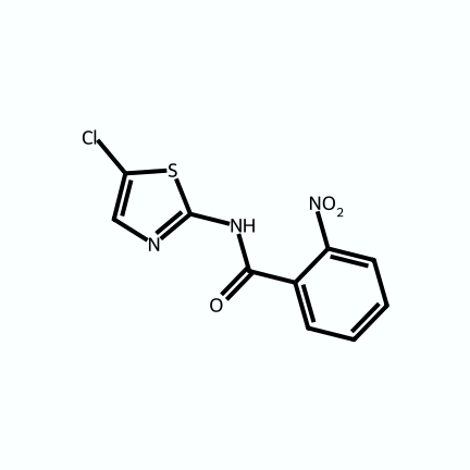 O=C(Nc1ncc(Cl)s1)c1ccccc1[N+](=O)[O-]